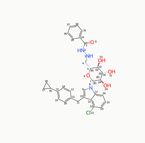 O=C(NNC[C@H]1O[C@@H](n2cc(Cc3ccc(C4CC4)cc3)c3c(Cl)cccc32)[C@H](O)[C@@H](O)[C@@H]1O)c1ccccc1